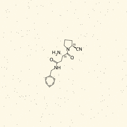 N#C[C@@H]1CCCN1C(=O)[C@@H](N)CC(=O)NCc1ccccc1